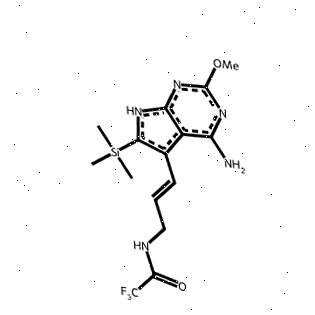 COc1nc(N)c2c(C=CCNC(=O)C(F)(F)F)c([Si](C)(C)C)[nH]c2n1